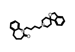 O=C1CCCc2ccccc2N1CCCCN1CCC2(CC1)OCc1ccccc12